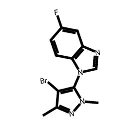 Cc1nn(C)c(-n2cnc3cc(F)ccc32)c1Br